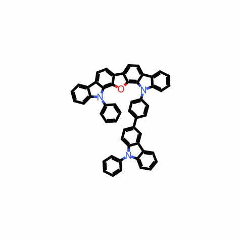 c1ccc(-n2c3ccccc3c3cc(-c4ccc(-n5c6ccccc6c6ccc7c8ccc9c%10ccccc%10n(-c%10ccccc%10)c9c8oc7c65)cc4)ccc32)cc1